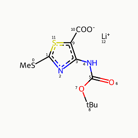 CSc1nc(NC(=O)OC(C)(C)C)c(C(=O)[O-])s1.[Li+]